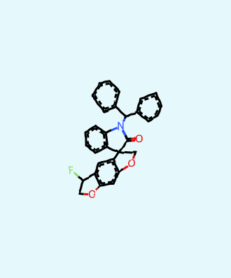 O=C1N(C(c2ccccc2)c2ccccc2)c2ccccc2C12COc1cc3c(cc12)C(F)CO3